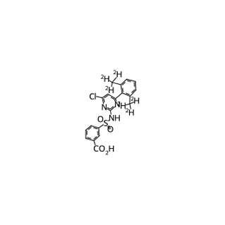 [2H]C([2H])([2H])c1cccc(C([2H])([2H])[2H])c1-c1cc(Cl)nc(NS(=O)(=O)c2cccc(C(=O)O)c2)n1